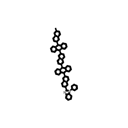 Cc1ccc2cc(-c3c4ccccc4c(-c4ccc5cc(-c6c7ccccc7c(-c7ccc8cc(-c9nc%10ccccc%10n9-c9ccccc9)ccc8c7)c7ccccc67)ccc5c4)c4ccccc34)ccc2c1